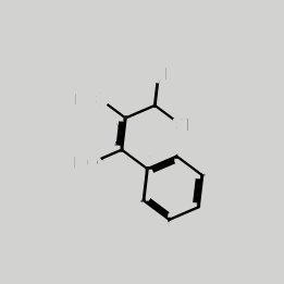 CC(=C(O)c1ccccc1)C(Cl)Cl